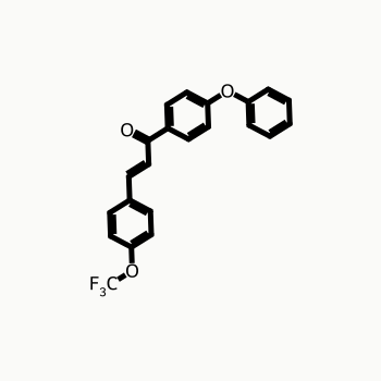 O=C(C=Cc1ccc(OC(F)(F)F)cc1)c1ccc(Oc2ccccc2)cc1